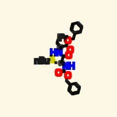 CCCCSC[C@@H](NC(=O)OCc1ccccc1)C(=O)N[C@@H](CC(C)C)C(=O)OCc1ccccc1